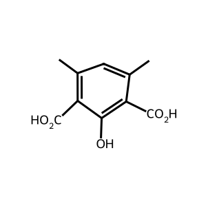 Cc1cc(C)c(C(=O)O)c(O)c1C(=O)O